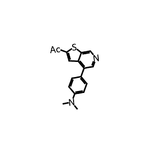 CC(=O)c1cc2c(-c3ccc(N(C)C)cc3)cncc2s1